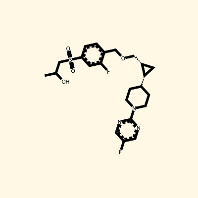 CC(O)CS(=O)(=O)c1ccc(COC[C@@H]2C[C@@H]2C2CCN(c3ncc(F)cn3)CC2)c(F)c1